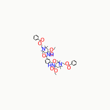 CCOC(=O)C1(NC(=O)c2cccc(C(=O)NC3(C(=O)OCC)CC(C)(C)N(CCOC(=O)c4ccccc4)C(C)(C)C3)c2)CC(C)(C)N(CCOC(=O)c2ccccc2)C(C)(C)C1